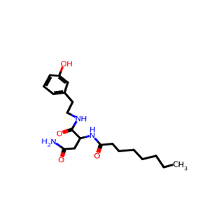 CCCCCCCC(=O)NC(CC(N)=O)C(=O)NCCc1cccc(O)c1